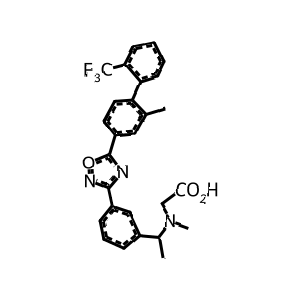 Cc1cc(-c2nc(-c3cccc(C(C)N(C)CC(=O)O)c3)no2)ccc1-c1ccccc1C(F)(F)F